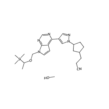 CC(OCn1ccc2c(-c3cnn(C4CCC(CCC#N)C4)c3)ncnc21)[Si](C)(C)C.CO